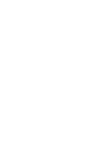 CC(C)(C(=O)Nc1nc(-c2ccccc2)ns1)S(=O)(=O)CC1CCOCC1.CC(C)c1cc(NC(=O)C(C)(C)S(=O)(=O)CC2CCOCC2)on1